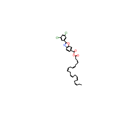 CC/C=C\C/C=C\C/C=C\C/C=C\C/C=C\C/C=C\CC(=O)OC(=O)c1ccc2nc(-c3cc(Cl)cc(Cl)c3)oc2c1